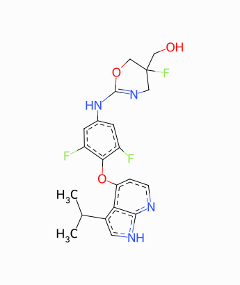 CC(C)c1c[nH]c2nccc(Oc3c(F)cc(NC4=NCC(F)(CO)CO4)cc3F)c12